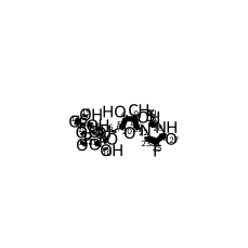 C[C@@]1(O)C(O)[C@@H](COP(=O)(O)OP(=O)(O)OP(=O)(O)O)O[C@H]1n1cc(F)c(=O)[nH]c1=S